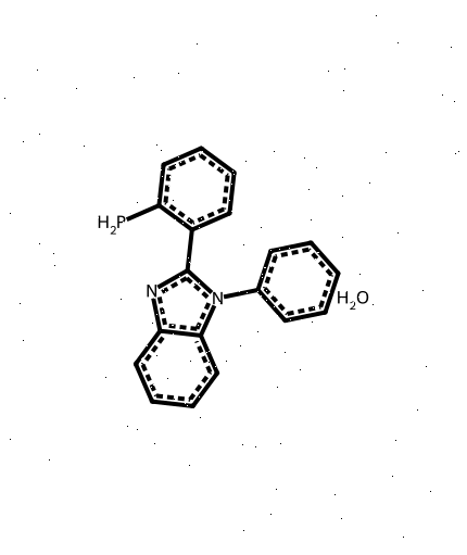 O.Pc1ccccc1-c1nc2ccccc2n1-c1ccccc1